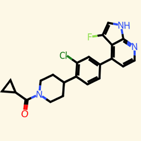 O=C(C1CC1)N1CCC(c2ccc(-c3ccnc4[nH]cc(F)c34)cc2Cl)CC1